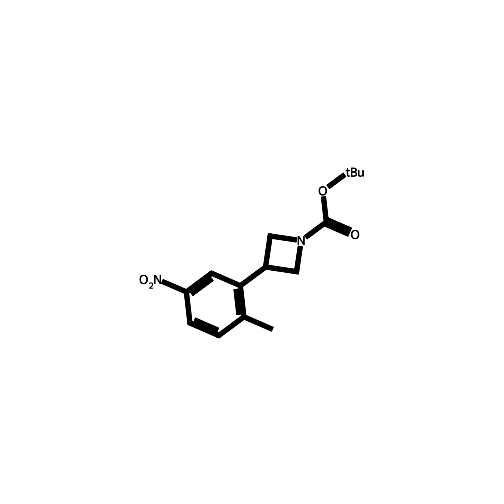 Cc1ccc([N+](=O)[O-])cc1C1CN(C(=O)OC(C)(C)C)C1